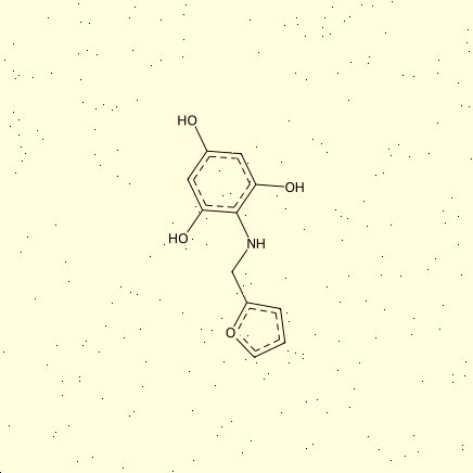 Oc1cc(O)c(NCc2ccco2)c(O)c1